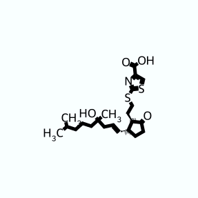 CC(C)CCCC(C)(O)CC=C[C@H]1CCC(=O)[C@@H]1CCSc1nc(C(=O)O)cs1